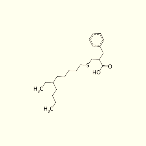 CCCCC(CC)CCCCCSCC(Cc1ccccc1)C(=O)O